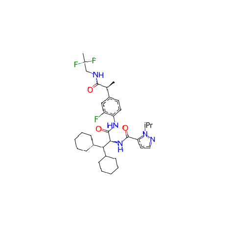 CC(C)n1nccc1C(=O)N[C@H](C(=O)Nc1ccc([C@H](C)C(=O)NCC(C)(F)F)cc1F)C(C1CCCCC1)C1CCCCC1